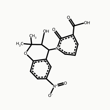 CC1(C)Oc2ccc([N+](=O)[O-])cc2C(n2cccc(C(=O)O)c2=O)C1O